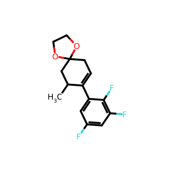 CC1CC2(CC=C1c1cc(F)cc(F)c1F)OCCO2